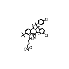 CCOc1cc(C(C)(C)C)ccc1C1=NC(C)(c2ccc(Cl)cc2)[C@](C)(c2ccc(Cl)cc2)C1C(=O)N1CCN(CCCS(C)(=O)=O)CC1